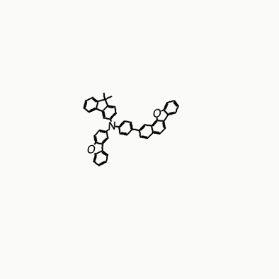 CC1(C)c2ccccc2-c2cc(N(c3ccc(-c4ccc5ccc6c7ccccc7oc6c5c4)cc3)c3ccc4oc5ccccc5c4c3)ccc21